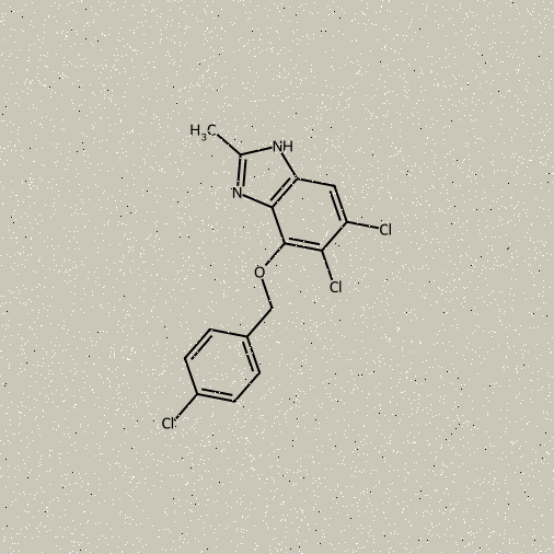 Cc1nc2c(OCc3ccc(Cl)cc3)c(Cl)c(Cl)cc2[nH]1